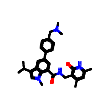 Cc1cc(C)c(CNC(=O)c2cc(-c3ccc(CN(C)C)cc3)cc3c(C(C)C)cn(C)c23)c(=O)[nH]1